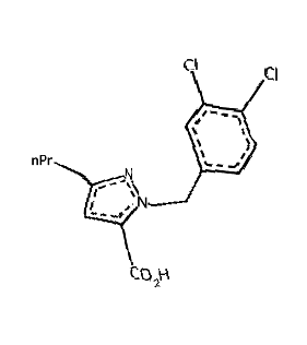 CCCc1cc(C(=O)O)n(Cc2ccc(Cl)c(Cl)c2)n1